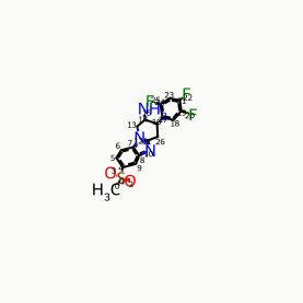 CS(=O)(=O)c1ccc2c(c1)nc1n2CC(N)[C@@H](c2cc(F)c(F)cc2F)C1